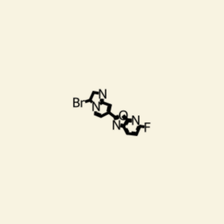 Fc1ccc2nc(C3=CC4=NCC(Br)N4C=C3)oc2n1